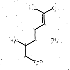 CC(C)=CCCC(C)CC=O.[CH3]